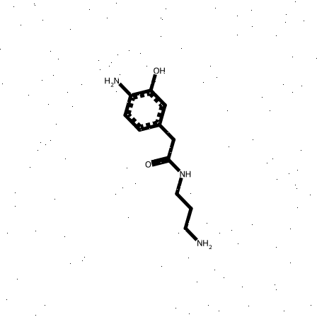 NCCCNC(=O)Cc1ccc(N)c(O)c1